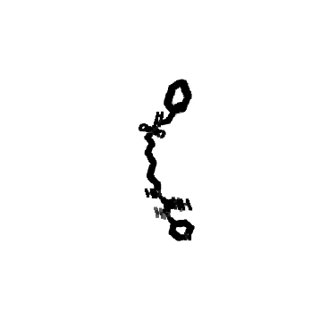 N=C(NCCCCCCS(=O)(=O)NCc1ccccc1)Nc1ccncc1